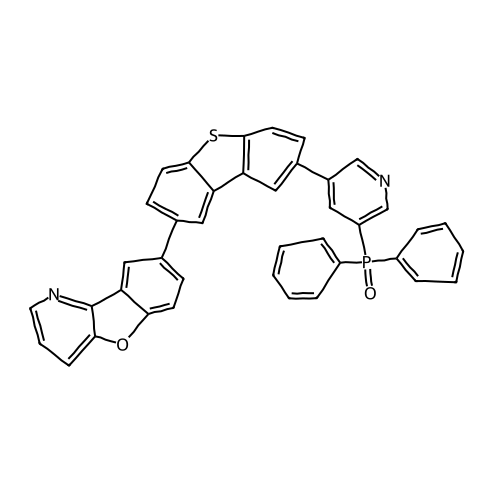 O=P(c1ccccc1)(c1ccccc1)c1cncc(-c2ccc3sc4ccc(-c5ccc6oc7cccnc7c6c5)cc4c3c2)c1